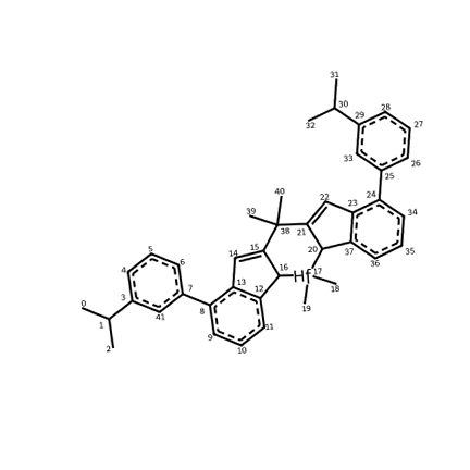 CC(C)c1cccc(-c2cccc3c2C=C2[CH]3[Hf]([CH3])([CH3])[CH]3C(=Cc4c(-c5cccc(C(C)C)c5)cccc43)C2(C)C)c1